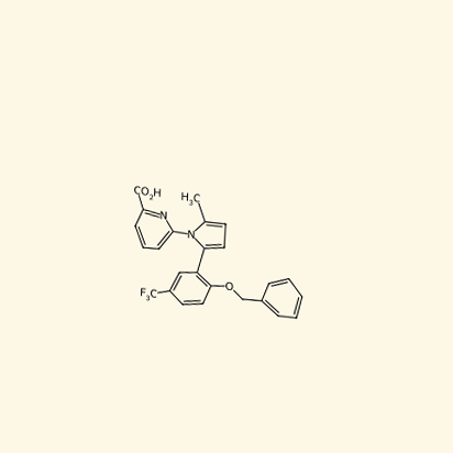 Cc1ccc(-c2cc(C(F)(F)F)ccc2OCc2ccccc2)n1-c1cccc(C(=O)O)n1